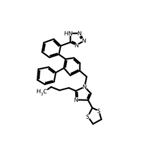 CCCCc1nc(C2SCCS2)cn1Cc1ccc(-c2ccccc2-c2nnn[nH]2)c(-c2ccccc2)c1